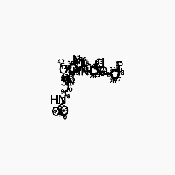 CCS(=O)(=O)CCNCCCc1nc(-c2cc3c(Nc4ccc(OCc5cccc(F)c5)c(Cl)c4)ncnc3cc2OC)cs1